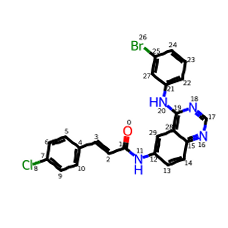 O=C(C=Cc1ccc(Cl)cc1)Nc1ccc2ncnc(Nc3cccc(Br)c3)c2c1